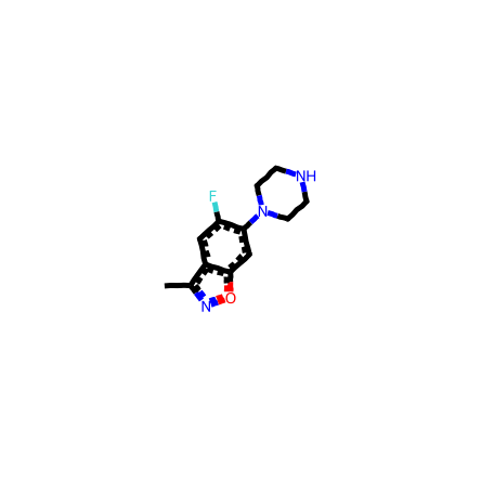 Cc1noc2cc(N3CCNCC3)c(F)cc12